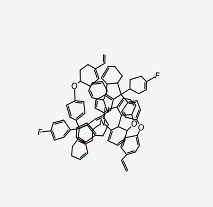 C=CC1=CCC(Oc2ccc(C3(c4ccc(F)cc4)C4=C(CCC(N(C5=CC=CC6OC7C=CC=C(N(c8ccc9c(c8)C(c8ccc(Oc%10ccc(C=C)cc%10)cc8)(C8CC=C(F)CC8)C8CCC=CC98)C8C=CC=CC8)C7C56)C5C=CC=CC5)=C4)C4=C3CCC=C4)cc2)CC1